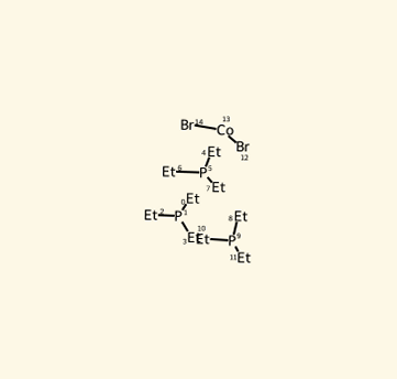 CCP(CC)CC.CCP(CC)CC.CCP(CC)CC.[Br][Co][Br]